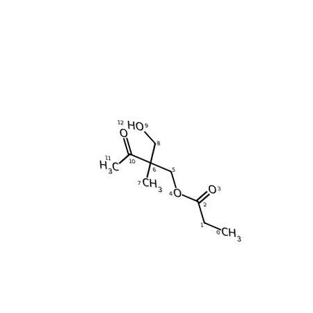 CCC(=O)OCC(C)(CO)C(C)=O